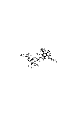 CCOC(=O)C1C2=CSC(CC(=O)N3CCN(c4nc(N(CC)CC)ccc4N(CC)CC)CC3)N2C(C)=C(C(=O)OC)C1C1CC1